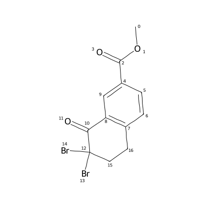 COC(=O)c1ccc2c(c1)C(=O)C(Br)(Br)CC2